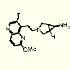 COc1ccc2ncc(F)c(CCN3CC4C(N)[C@@H]4C3)c2n1